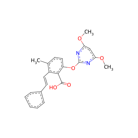 COc1cc(OC)nc(Oc2ccc(C)c(C=Cc3ccccc3)c2C(=O)O)n1